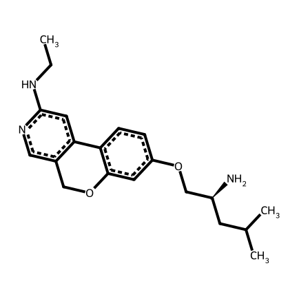 CCNc1cc2c(cn1)COc1cc(OC[C@@H](N)CC(C)C)ccc1-2